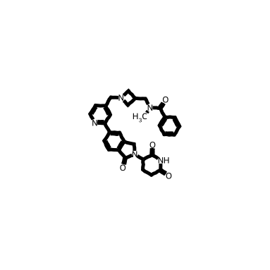 CN(CC1CN(Cc2ccnc(-c3ccc4c(c3)CN(C3CCC(=O)NC3=O)C4=O)c2)C1)C(=O)c1ccccc1